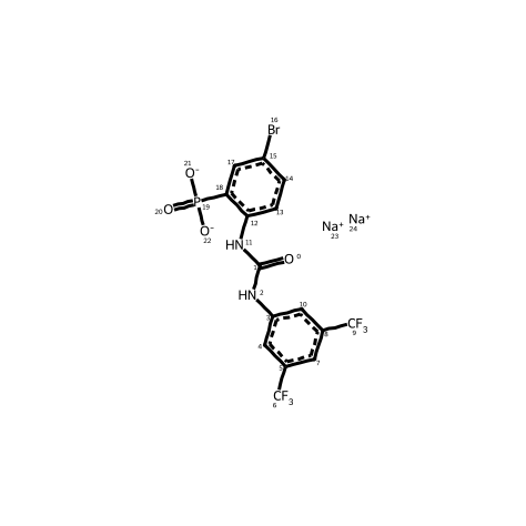 O=C(Nc1cc(C(F)(F)F)cc(C(F)(F)F)c1)Nc1ccc(Br)cc1P(=O)([O-])[O-].[Na+].[Na+]